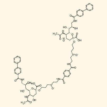 CC(=O)N[C@H]1[C@H]([C@H](O)[C@H](O)CNC(=O)c2ccc(-c3ccccc3)cc2)O[C@@](OCCC[S+]([O-])CCNC(=O)c2ccc(C(=O)NCC[S+]([O-])CCCO[C@]3(C(=O)O)C[C@H](O)[C@@H](NC(C)=O)[C@H]([C@H](O)[C@H](O)CNC(=O)c4ccc(-c5ccccc5)cc4)O3)cc2)(C(=O)O)C[C@@H]1O